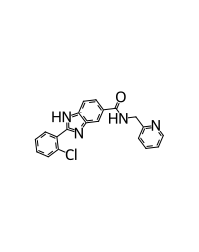 O=C(NCc1ccccn1)c1ccc2[nH]c(-c3ccccc3Cl)nc2c1